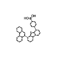 OB(O)c1ccc(-c2cccc3c2sc2c(-c4cc5ccccc5c5ccccc45)cccc23)cc1